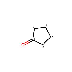 O=C1[CH]CCC1